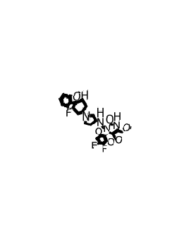 COCC1=C(C(=O)OC)[C@H](c2ccc(F)c(F)c2)N(C(=O)N[C@@H]2CCN(C3CCC(O)(c4ccccc4F)CC3)C2)C(=O)N1